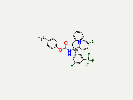 Cc1ccc(OC(=O)N[C@@](Cc2ccccc2)(c2cc(F)cc(C(F)(F)F)c2)c2ccc(Cl)cn2)cc1